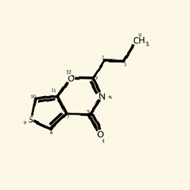 CCCc1nc(=O)c2cscc2o1